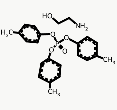 Cc1ccc(OP(=O)(Oc2ccc(C)cc2)Oc2ccc(C)cc2)cc1.NCCO